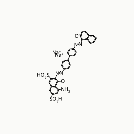 Nc1cc(S(=O)(=O)O)cc2cc(S(=O)(=O)O)c(N=Nc3ccc(-c4ccc(N=Nc5c([O-])ccc6ccccc56)cc4)cc3)c([O-])c12.[Na+].[Na+]